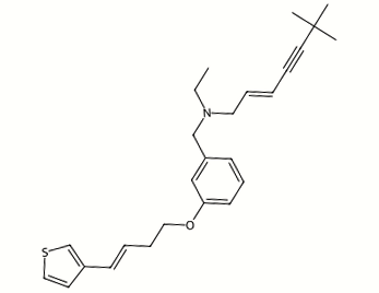 CCN(CC=CC#CC(C)(C)C)Cc1cccc(OCCC=Cc2ccsc2)c1